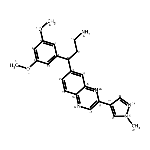 COc1cc(OC)cc(C(CCN)c2ccc3ncc(-c4cnn(C)c4)nc3c2)c1